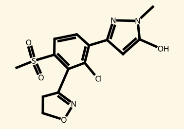 Cn1nc(-c2ccc(S(C)(=O)=O)c(C3=NOCC3)c2Cl)[c]c1O